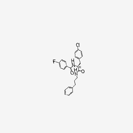 O=C(N[C@@H](Cc1ccc(Cl)cc1)C(=O)NCCCc1ccccc1)c1ccc(F)cc1